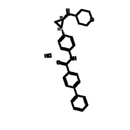 Cl.O=C(Nc1ccc([C@@H]2C[C@H]2NC2CCOCC2)cc1)c1ccc(-c2ccccc2)cc1